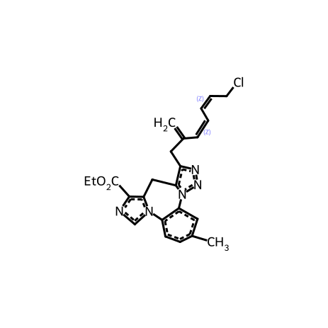 C=C(/C=C\C=C/CCl)Cc1nnn2c1Cc1c(C(=O)OCC)ncn1-c1ccc(C)cc1-2